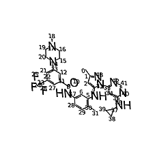 Cc1cc(Nc2cc(NC(=O)c3cc(N4CCN(C)CC4)cc(C(F)(F)F)c3)ccc2C)n(-c2cc(NC3CC3)ncn2)n1